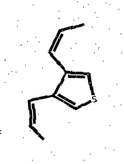 C/C=C\c1cscc1/C=C\C